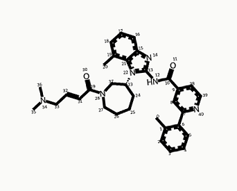 Cc1ccccc1-c1cc(C(=O)Nc2nc3cccc(C)c3n2[C@@H]2CCCCN(C(=O)/C=C/CN(C)C)C2)ccn1